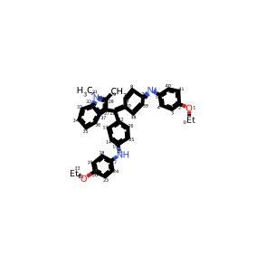 CCOc1ccc(N=C2C=CC(=C(c3ccc(Nc4ccc(OCC)cc4)cc3)c3c(C)n(C)c4ccccc34)C=C2)cc1